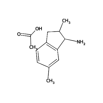 CC(=O)O.Cc1ccc2c(c1)C(N)C(C)C2